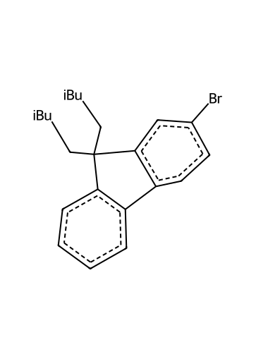 CCC(C)CC1(CC(C)CC)c2ccccc2-c2ccc(Br)cc21